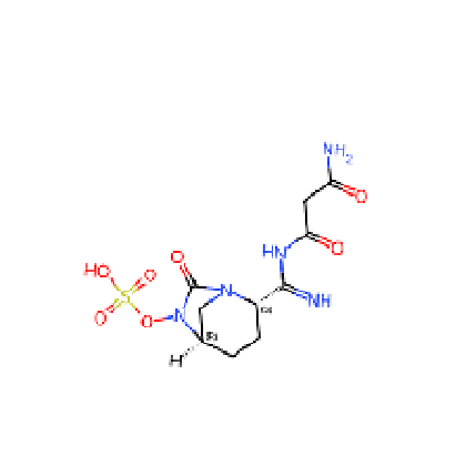 N=C(NC(=O)CC(N)=O)[C@@H]1CC[C@@H]2CN1C(=O)N2OS(=O)(=O)O